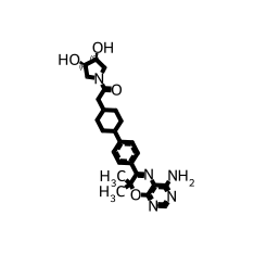 CC1(C)Oc2ncnc(N)c2N=C1c1ccc(C2CCC(CC(=O)N3C[C@@H](O)[C@@H](O)C3)CC2)cc1